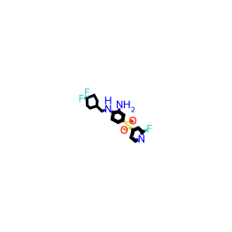 Nc1cc(S(=O)(=O)c2ccnc(F)c2)ccc1NCC1CCC(F)(F)CC1